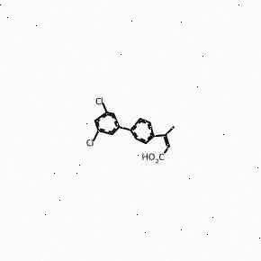 C/C(=C/C(=O)O)c1ccc(-c2cc(Cl)cc(Cl)c2)cc1